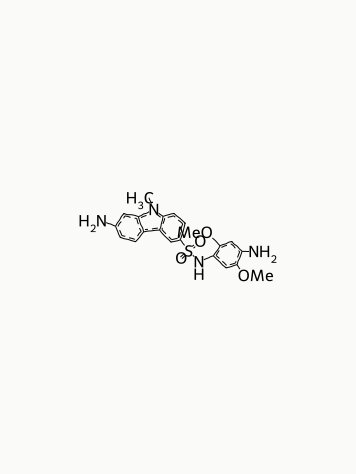 COc1cc(NS(=O)(=O)c2ccc3c(c2)c2ccc(N)cc2n3C)c(OC)cc1N